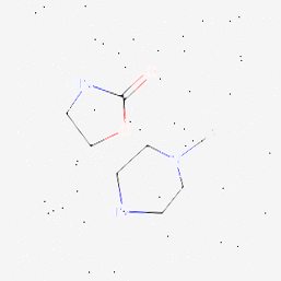 CC(=O)N1CCNCC1.O=C1NCCO1